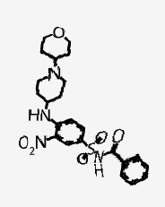 O=C(NS(=O)(=O)c1ccc(NC2CCN(C3CCOCC3)CC2)c([N+](=O)[O-])c1)c1ccccc1